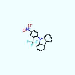 O=[N+]([O-])c1ccc(-n2c3ccccc3c3ccccc32)c(C(F)(F)F)c1